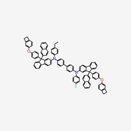 CCc1ccc(N(c2ccc(-c3ccc(N(c4ccc(F)cc4)c4ccc5c(c4)C(c4ccc(Oc6ccc7c(c6)CC7)cc4)(c4ccc6ccccc6c4)c4ccccc4-5)cc3)cc2)c2ccc3c(c2)C(c2ccc(Oc4ccc5c(c4)CC5)cc2)(c2ccc4ccccc4c2)c2ccccc2-3)cc1